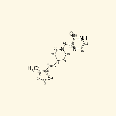 Cc1ccsc1/C=C/C1CCN(Cc2ncc[nH]c2=O)CC1